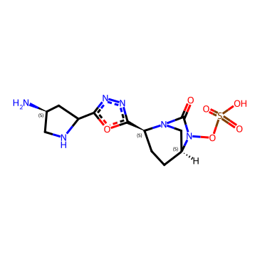 N[C@@H]1CNC(c2nnc([C@@H]3CC[C@H]4CN3C(=O)N4OS(=O)(=O)O)o2)C1